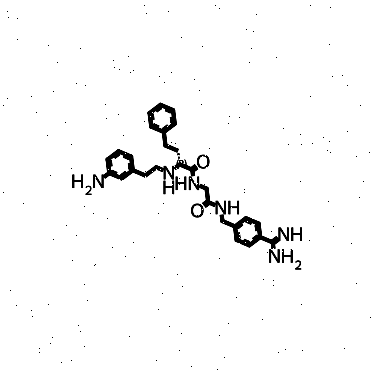 N=C(N)c1ccc(CNC(=O)CNC(=O)[C@@H](CCc2ccccc2)NCCc2cccc(N)c2)cc1